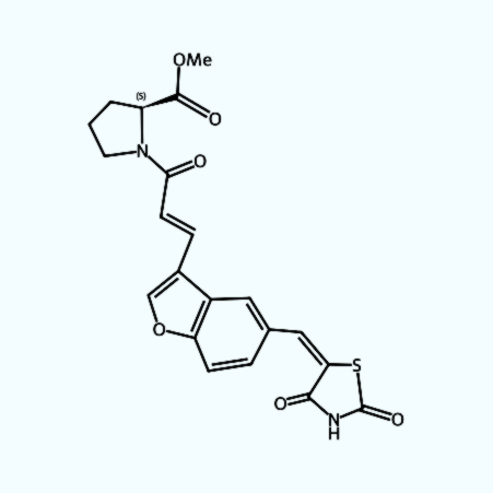 COC(=O)[C@@H]1CCCN1C(=O)C=Cc1coc2ccc(C=C3SC(=O)NC3=O)cc12